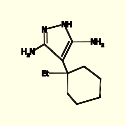 CCC1(c2c(N)n[nH]c2N)CCCCC1